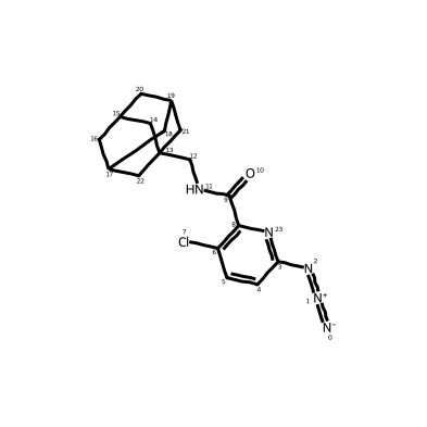 [N-]=[N+]=Nc1ccc(Cl)c(C(=O)NCC23CC4CC(CC(C4)C2)C3)n1